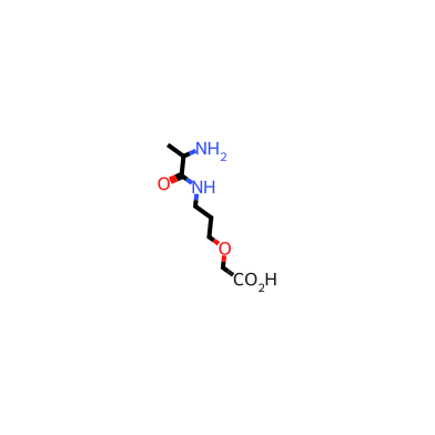 CC(N)C(=O)NCCCOCC(=O)O